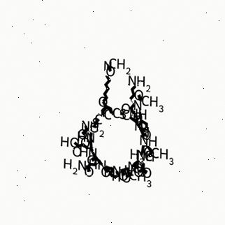 C=NOCCCCCCOc1cc2cc(c1)CSC[C@H](NC(=O)[C@H](CCCCN)NC(C)=O)C(=O)N1CCC[C@H]1C(=O)N[C@@H](CC(C)C)C(=O)N[C@@H](CC(=O)O)C(=O)N[C@@H]([C@@H](C)O)C(=O)N1CCC[C@H]1C(=O)N[C@@H](CCC(N)=O)C(=O)N[C@@H](CCC(=O)O)C(=O)N[C@H](C(N)=O)CSC2